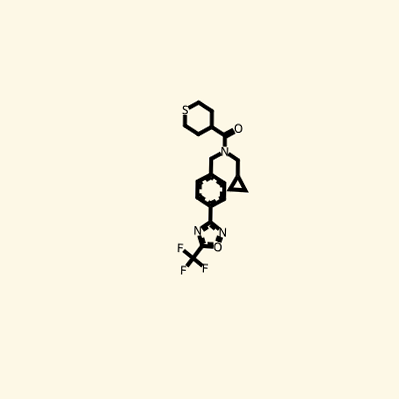 O=C(C1CCSCC1)N(Cc1ccc(-c2noc(C(F)(F)F)n2)cc1)CC1CC1